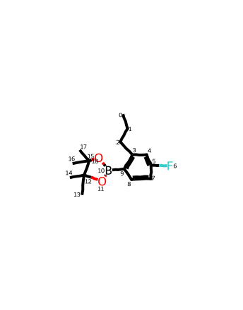 CCCc1cc(F)ccc1B1OC(C)(C)C(C)(C)O1